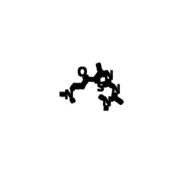 CC(=Nc1nc(C)c(C(=O)C=CN(C)C)s1)N(C)C